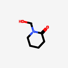 O=C1CCCCN1[CH]O